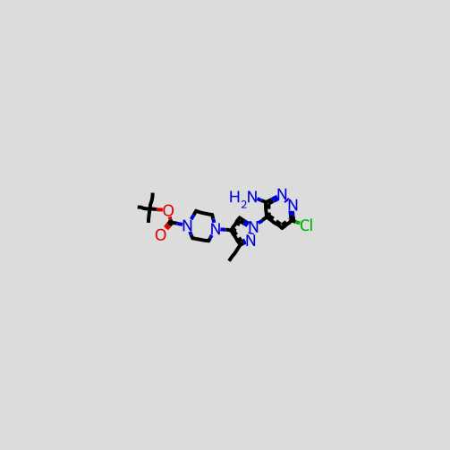 Cc1nn(-c2cc(Cl)nnc2N)cc1N1CCN(C(=O)OC(C)(C)C)CC1